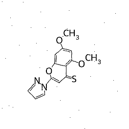 COc1cc(OC)c2c(=S)cc(-n3cccn3)oc2c1